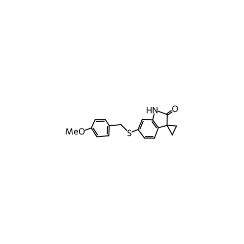 COc1ccc(CSc2ccc3c(c2)NC(=O)C32CC2)cc1